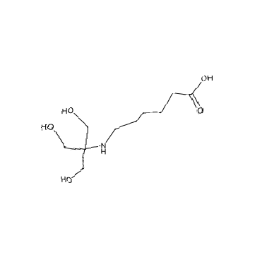 O=C(O)CCCCCNC(CO)(CO)CO